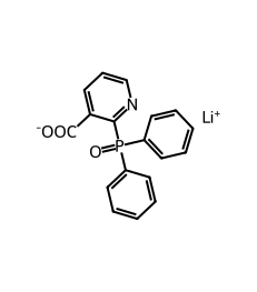 O=C([O-])c1cccnc1P(=O)(c1ccccc1)c1ccccc1.[Li+]